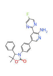 CC1(C)OC(=O)N(c2ccc(-c3cnc(N)c(-c4ncc(F)cn4)c3)cc2)C1c1ccccc1